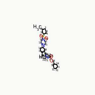 Cc1cccc(S(=O)(=O)N2CCN(c3ccc4c(c3)[C@H]3C[C@H]4CCN3C(=O)OCc3ccccc3)CC2)c1